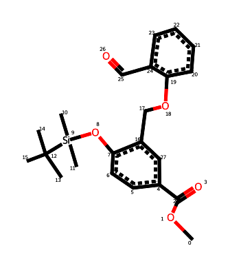 COC(=O)c1ccc(O[Si](C)(C)C(C)(C)C)c(COc2ccccc2C=O)c1